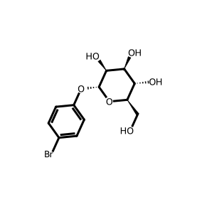 OC[C@H]1O[C@H](Oc2ccc(Br)cc2)[C@@H](O)[C@@H](O)[C@@H]1O